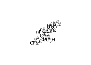 CCCCc1nc(C)n(-c2ccccn2)c(=O)c1Cc1cc(CCC)c(OC(C(=O)O)c2ccc(Cl)cc2)c(CCC)c1